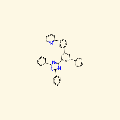 c1ccc(-c2cc(-c3cccc(-c4ccccn4)c3)cc(-c3nc(-c4ccccc4)nc(-c4ccccc4)n3)c2)cc1